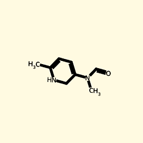 CC1=CC=C(N(C)C=O)CN1